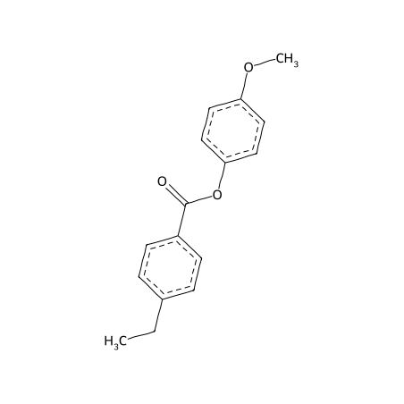 CCc1ccc(C(=O)Oc2ccc(OC)cc2)cc1